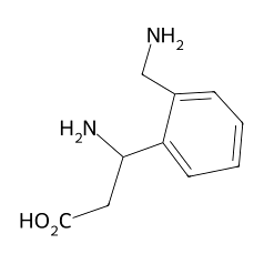 NCc1ccccc1C(N)CC(=O)O